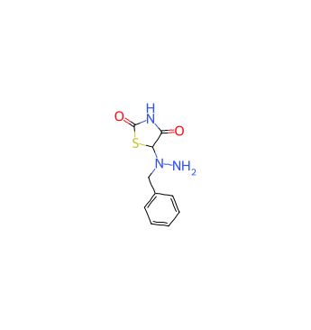 NN(Cc1ccccc1)C1SC(=O)NC1=O